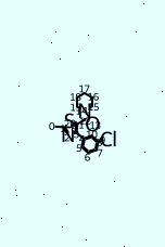 Cc1nc(-c2cccc(Cl)c2)c(C(=O)N2CCCCC2)s1